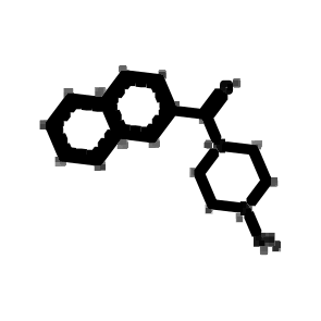 NN1CCN(C(=O)c2ccc3ccccc3c2)CC1